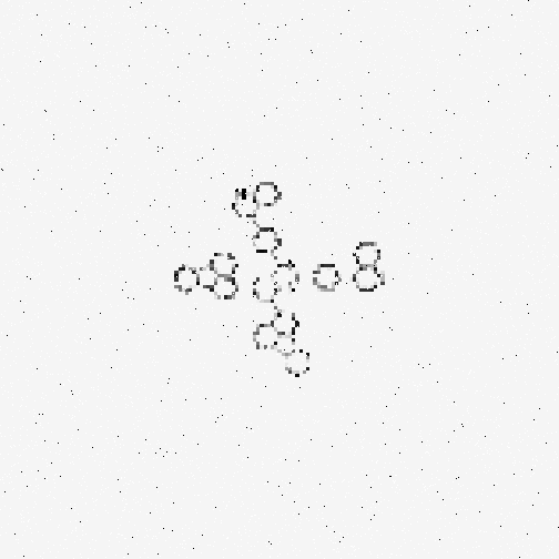 C1=CC2=C(CC1)c1ccc(C3=C4N=C(c5ccc(-c6ccnc7ccccc67)cc5)N=C(c5ccc(-c6ccnc7ccccc67)cc5)C4CC(c4ccc5c6c(cccc46)-c4ccccc4-5)=C3)c3cccc2c13